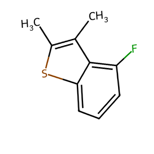 Cc1sc2cccc(F)c2c1C